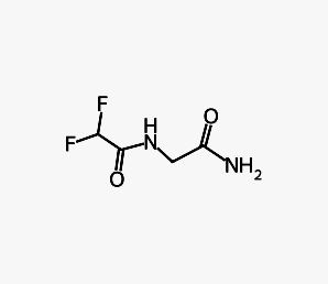 NC(=O)CNC(=O)C(F)F